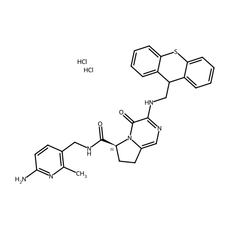 Cc1nc(N)ccc1CNC(=O)[C@@H]1CCc2cnc(NCC3c4ccccc4Sc4ccccc43)c(=O)n21.Cl.Cl